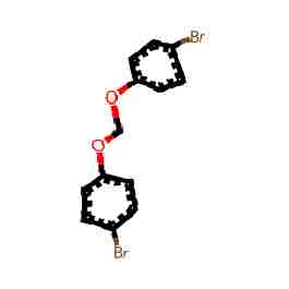 Brc1ccc(OCOc2ccc(Br)cc2)cc1